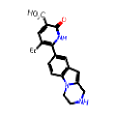 CCc1cc(C(=O)O)c(=O)[nH]c1-c1ccc2c(c1)cc1n2CCNC1